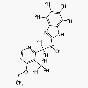 [2H]c1c([2H])c([2H])c2[nH]c([S+]([O-])C([2H])([2H])c3nccc(OCC(F)(F)F)c3C([2H])([2H])[2H])nc2c1[2H]